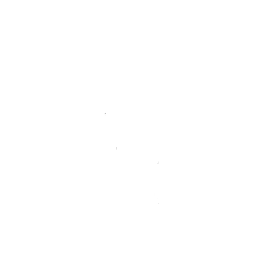 CC1=CC=C(Cl)C(C)C1